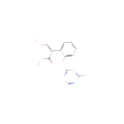 CO/C=C(\C(=O)OC)c1ccccc1Oc1ncnc(Cl)n1